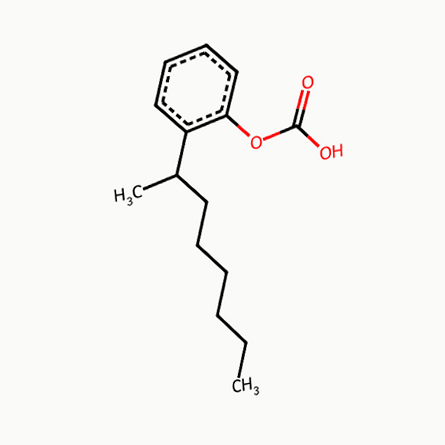 CCCCCCC(C)c1ccccc1OC(=O)O